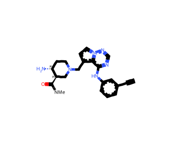 C#Cc1cccc(Nc2ncnn3ccc(CN4CC[C@@H](N)[C@H](C(=O)NC)C4)c23)c1